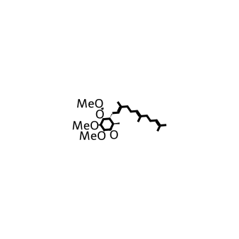 COCO[C@@H]1[C@H](C/C=C(\C)CC/C=C(\C)CCC=C(C)C)[C@@H](C)C(=O)[C@@H](OC)[C@H]1OC